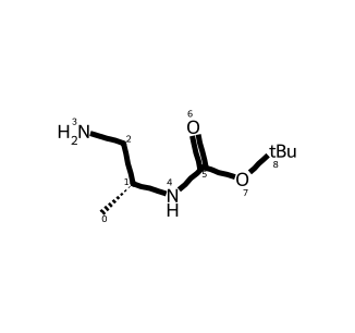 C[C@H](CN)NC(=O)OC(C)(C)C